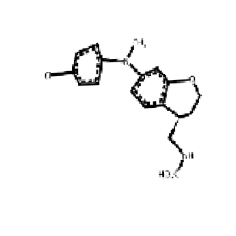 CN(c1ccc(Cl)cc1)c1ccc2c(c1)OCC[C@H]2CNC(=O)O